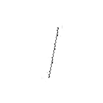 C=CC(=O)COC(=O)CCCCC(=O)COC(=O)CCCCC(=O)COC(=O)CCCCC(=O)CC(=O)C=C